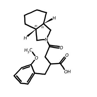 COc1ccccc1CC(CC(=O)N1C[C@H]2CCCC[C@H]2C1)C(=O)O